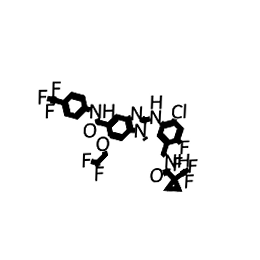 Cn1c(Nc2cc(CNC(=O)C3(C(F)(F)F)CC3)c(F)cc2Cl)nc2cc(C(=O)Nc3ccc(C(F)(F)F)cc3)c(OCC(F)F)cc21